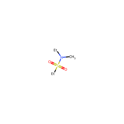 [CH2]CS(=O)(=O)N(C)CC